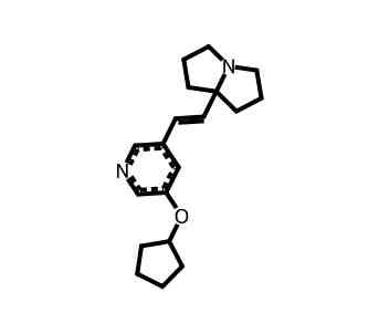 C(=CC12CCCN1CCC2)c1cncc(OC2CCCC2)c1